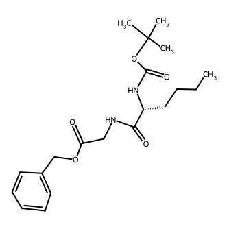 CCCC[C@@H](NC(=O)OC(C)(C)C)C(=O)NCC(=O)OCc1ccccc1